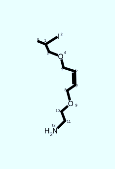 CC(I)COC/C=C\COCCN